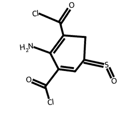 NC1=C(C(=O)Cl)CC(=S=O)C=C1C(=O)Cl